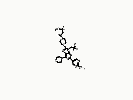 C[C@H](O)CC(=O)N1CCN(c2nc3c(N4CCOCC4)nc(-c4cnc(N)nc4)nc3n2CC(F)(F)F)CC1